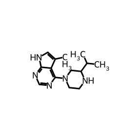 Cc1c[nH]c2ncnc(N3CCNC(C(C)C)C3)c12